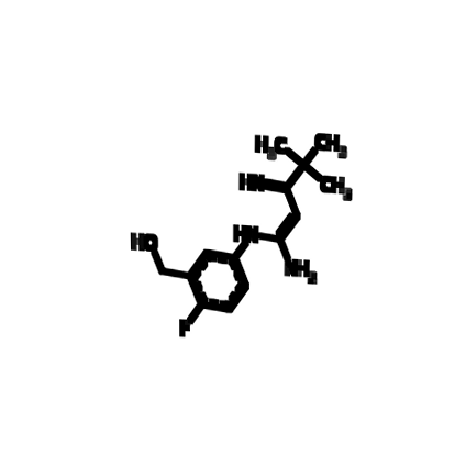 CC(C)(C)C(=N)/C=C(/N)Nc1ccc(F)c(CO)c1